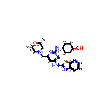 C[C@@H]1CN(Cc2cc(Nc3nc4cccnc4s3)nc(N[C@H]3CC[C@H](O)CC3)n2)C[C@H](C)O1